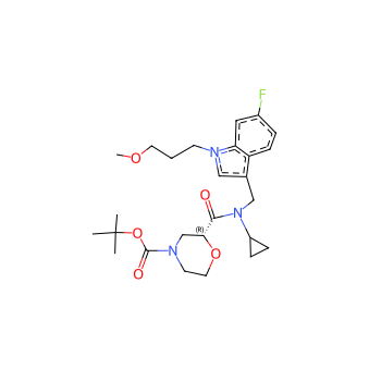 COCCCn1cc(CN(C(=O)[C@H]2CN(C(=O)OC(C)(C)C)CCO2)C2CC2)c2ccc(F)cc21